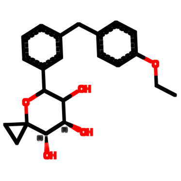 CCOc1ccc(Cc2cccc(C3OC4(CC4)[C@@H](O)[C@H](O)C3O)c2)cc1